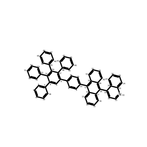 c1ccc(-c2cc(-c3ccc(-c4c5ccccc5c(-c5ccnc6ccccc56)c5ccccc45)cc3)c(-c3ccccc3)c(-c3ccccc3)c2-c2ccccc2)cc1